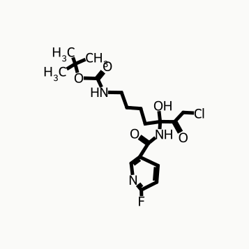 CC(C)(C)OC(=O)NCCCCC(O)(NC(=O)c1ccc(F)nc1)C(=O)CCl